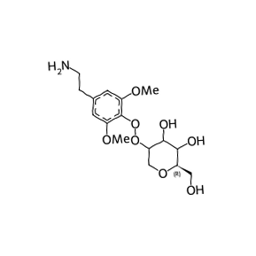 COc1cc(CCN)cc(OC)c1OOC1CO[C@H](CO)C(O)C1O